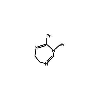 CC(C)C1=NCCN=CN1C(C)C